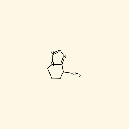 [CH2]C1CCCn2ncnc21